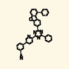 N#Cc1cccc(-c2ccc(-c3nc(-c4ccccc4)nc(-c4ccc5c(c4)oc4cccc(-c6ccccc6)c45)n3)nc2)c1